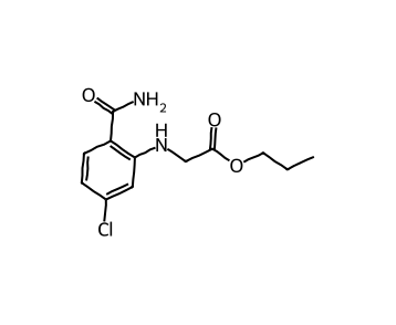 CCCOC(=O)CNc1cc(Cl)ccc1C(N)=O